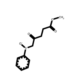 COC(=O)CCC(=O)C[S+]([O-])c1ccccc1